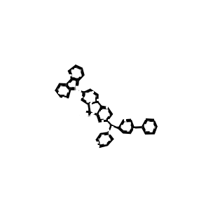 CC1(C)c2cc(C(c3ccccc3)c3ccc(-c4ccccc4)cc3)ccc2-c2ccc(-n3c4ccccc4c4ccccc43)cc21